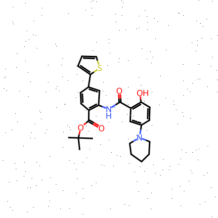 CC(C)(C)OC(=O)c1ccc(-c2cccs2)cc1NC(=O)c1cc(N2CCCCC2)ccc1O